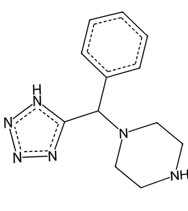 c1ccc(C(c2nnn[nH]2)N2CCNCC2)cc1